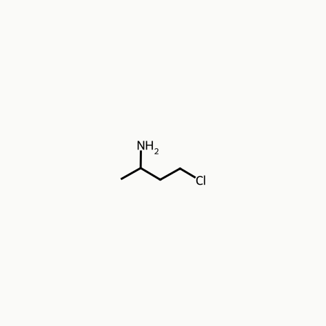 CC(N)CCCl